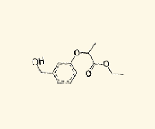 CCOC(=O)C(C)Oc1cccc(CO)c1